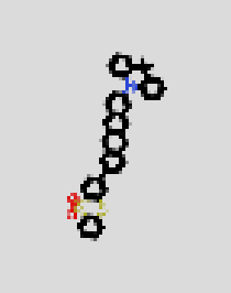 CC1(C)c2ccccc2N(c2ccc3cc4c(cc3c2)Cc2ccc(-c3ccc5c(c3)Sc3ccccc3S5(=O)=O)cc2C4)c2ccccc21